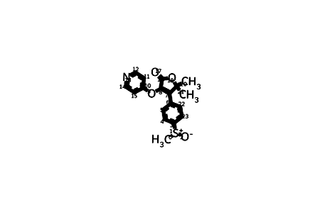 C[S+]([O-])c1ccc(C2=C(Oc3ccncc3)C(=O)OC2(C)C)cc1